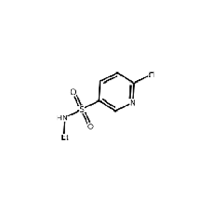 CCNS(=O)(=O)c1ccc(Cl)nc1